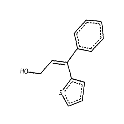 OCC=C(c1ccccc1)c1cccs1